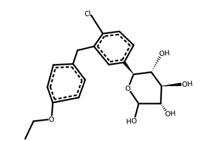 CCOc1ccc(Cc2cc([C@@H]3OC(O)[C@@H](O)[C@H](O)[C@H]3O)ccc2Cl)cc1